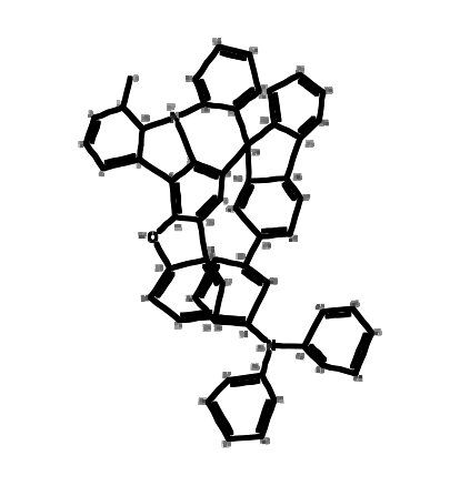 CC1C=CC=C2c3c4c(cc5c3oc3ccccc35)C3(c5ccccc5-c5ccc(-c6cccc(N(c7ccccc7)c7ccccc7)c6)cc53)c3ccccc3N4C21